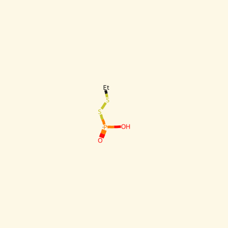 CCSS[P](=O)O